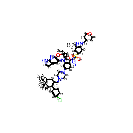 [2H]C([2H])([2H])C1(C([2H])([2H])[2H])CCC(CN2CCN(c3ccc(C(=O)NS(=O)(=O)c4ccc(NCC5CCOCC5)c([N+](=O)[O-])c4)c(N4c5cc6cc[nH]c6nc5OC([2H])([2H])C4([2H])[2H])c3)CC2)=C(c2ccc(Cl)cc2)C1